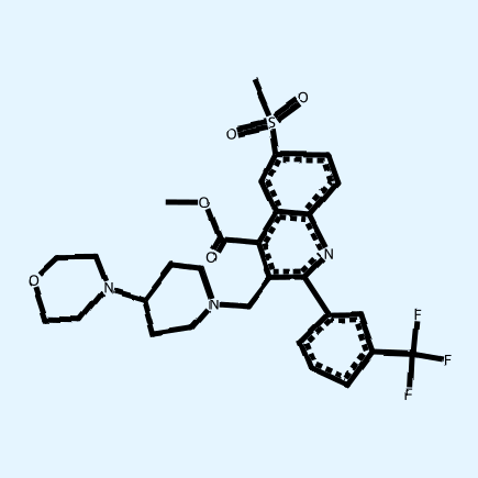 COC(=O)c1c(CN2CCC(N3CCOCC3)CC2)c(-c2cccc(C(F)(F)F)c2)nc2ccc(S(C)(=O)=O)cc12